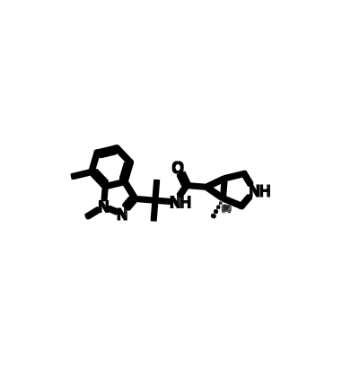 Cc1cccc2c(C(C)(C)NC(=O)C3C4CNC[C@]43C)nn(C)c12